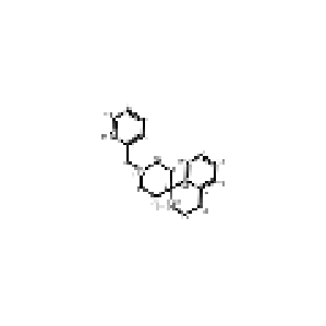 c1ccc(CN2CCC3(CC2)NCCc2ccccc23)nc1